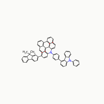 CC1(C)c2ccccc2-c2ccc(-c3ccc(N(c4ccc(-c5cccc6c5c5ccccc5n6-c5ccccc5)cc4)c4ccccc4-c4cccc5cccc(-c6ccccc6)c45)cc3)cc21